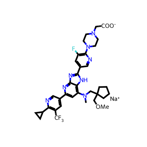 COCC1(CN(C)c2cc(-c3cnc(C4CC4)c(C(F)(F)F)c3)nc3nc(-c4cnc(N5CCN(CC(=O)[O-])CC5)c(F)c4)[nH]c23)CCCC1.[Na+]